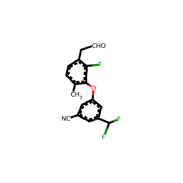 Cc1ccc(CC=O)c(F)c1Oc1cc(C#N)cc(C(F)F)c1